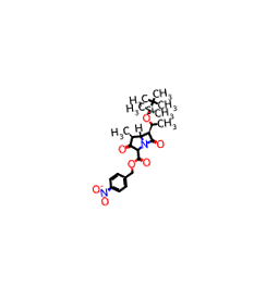 CC(O[Si](C)(C)C(C)(C)C)[C@H]1C(=O)N2C(C(=O)OCc3ccc([N+](=O)[O-])cc3)C(=O)[C@@H](C)[C@H]12